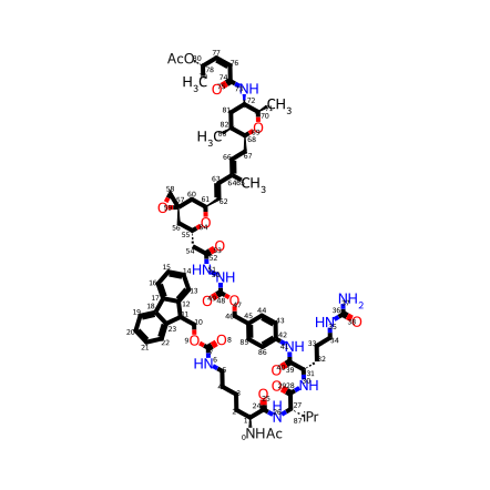 CC(=O)N[C@@H](CCCCNC(=O)OCC1c2ccccc2-c2ccccc21)C(=O)N[C@H](C(=O)N[C@@H](CCCNC(N)=O)C(=O)Nc1ccc(COC(=O)NNC(=O)C[C@@H]2C[C@@]3(CO3)C[C@@H](/C=C/C(C)=C/C[C@@H]3O[C@H](C)[C@H](NC(=O)/C=C\[C@H](C)OC(C)=O)C[C@@H]3C)O2)cc1)C(C)C